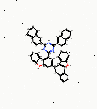 C1=CC2=C(CC1)c1oc3ccccc3c1C(c1cc(-c3nc(-c4ccc5ccccc5c4)nc(-c4ccc5ccccc5c4)n3)c3c(c1)oc1ccccc13)C2